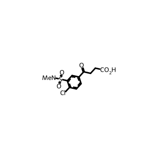 CNS(=O)(=O)c1cc(C(=O)CCC(=O)O)ccc1Cl